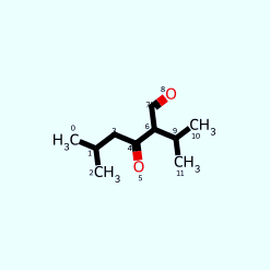 CC(C)CC(=O)C([C]=O)C(C)C